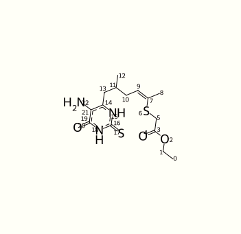 CCOC(=O)CS/C(C)=C\CC(C)Cc1[nH]c(=S)[nH]c(=O)c1N